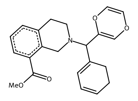 COC(=O)c1cccc2c1CN(C(C1=CC=CCC1)C1=COC=CO1)CC2